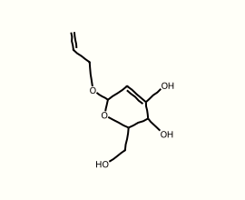 C=CCOC1C=C(O)C(O)C(CO)O1